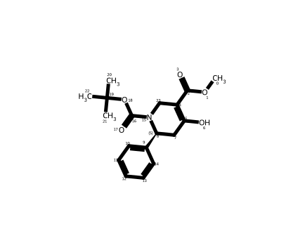 COC(=O)C1=C(O)C[C@@H](c2ccccc2)N(C(=O)OC(C)(C)C)C1